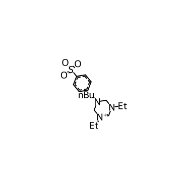 CCCCN1CN(CC)C=[N+](CC)C1.O=S(=O)([O-])c1ccccc1